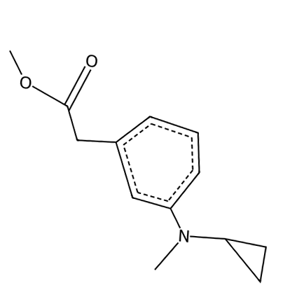 COC(=O)Cc1cccc(N(C)C2CC2)c1